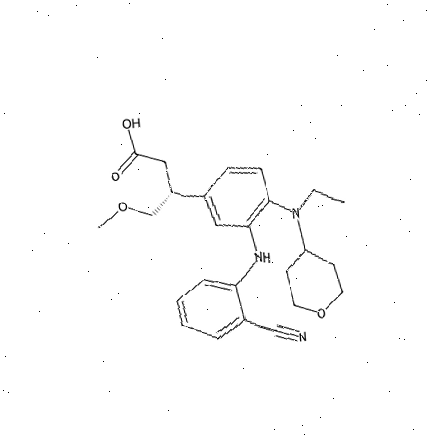 CCN(c1ccc([C@H](COC)CC(=O)O)cc1Nc1ccccc1C#N)C1CCOCC1